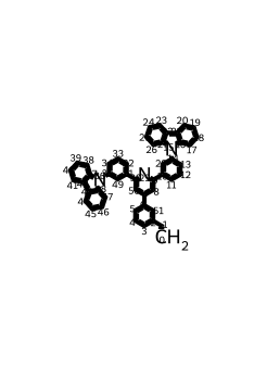 C=Cc1cccc(-c2cc(-c3cccc(-n4c5ccccc5c5ccccc54)c3)nc(-c3cccc(-n4c5ccccc5c5ccccc54)c3)c2)c1